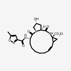 CCOC(=O)[C@@]12CC1/C=C\CCCCC[C@H](NC(=O)c1cc(C)on1)C(=O)N1C[C@H](O)C[C@H]1C(=O)N2